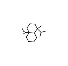 COC12CCCCC1C(C)(C(C)C)CCC2